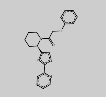 O=C(COc1ccccc1)N1CCCC[C@@H]1c1csc(-c2cnccn2)n1